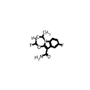 CC(C)n1c(OC(F)F)c(C(N)=O)c2cc(F)ccc21